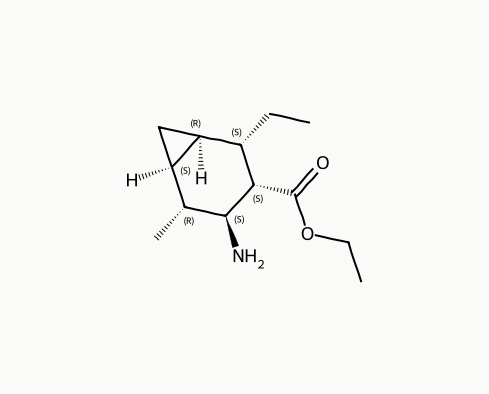 CCOC(=O)[C@@H]1[C@@H](N)[C@H](C)[C@H]2C[C@H]2[C@@H]1CC